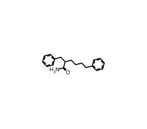 NC(=O)C(CCCCc1ccccc1)Cc1ccccc1